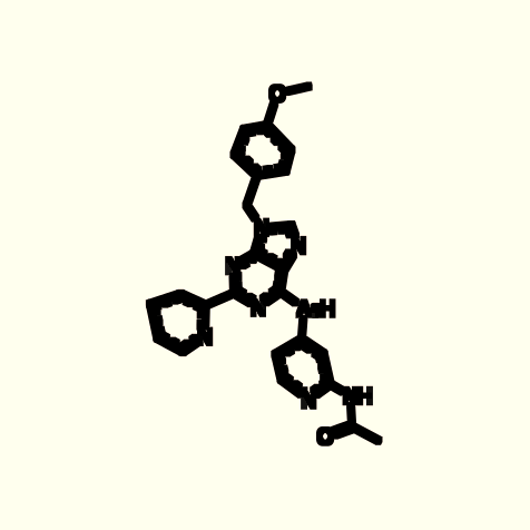 COc1ccc(Cn2cnc3c([AsH]c4ccnc(NC(C)=O)c4)nc(-c4ccccn4)nc32)cc1